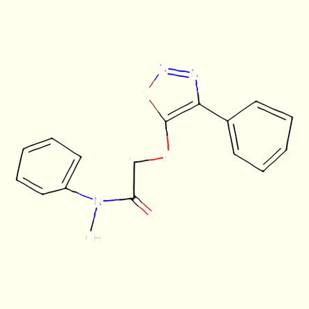 CN(C(=O)COc1snnc1-c1ccccc1)c1ccccc1